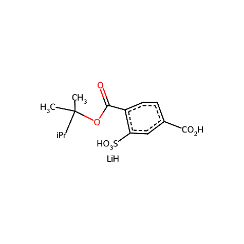 CC(C)C(C)(C)OC(=O)c1ccc(C(=O)O)cc1S(=O)(=O)O.[LiH]